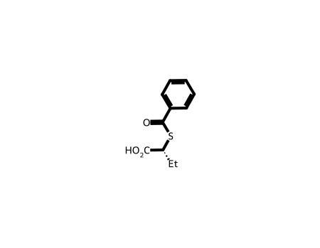 CC[C@@H](SC(=O)c1ccccc1)C(=O)O